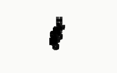 O=C(c1cc(Cc2nncc3ccccc23)ccc1F)N1CCC(NC2CC2)C1